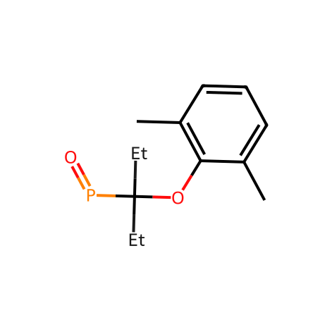 CCC(CC)(Oc1c(C)cccc1C)P=O